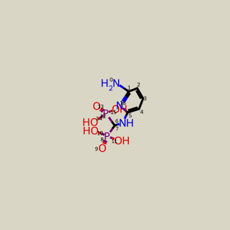 Nc1cccc(NC(P(=O)(O)O)P(=O)(O)O)n1